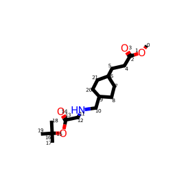 COC(=O)CCC1CCC(CNCC(=O)OC(C)(C)C)CC1